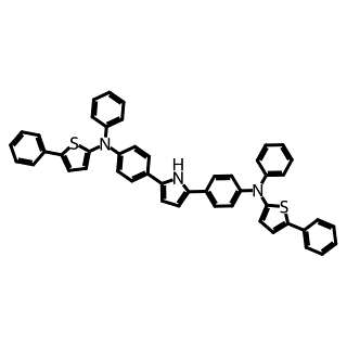 c1ccc(-c2ccc(N(c3ccccc3)c3ccc(-c4ccc(-c5ccc(N(c6ccccc6)c6ccc(-c7ccccc7)s6)cc5)[nH]4)cc3)s2)cc1